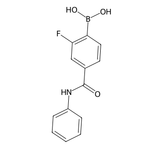 O=C(Nc1ccccc1)c1ccc(B(O)O)c(F)c1